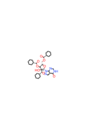 O=C(OC[C@@H]1O[C@H](n2ncc3c(=O)[nH]cnc32)[C@](O)(C(=O)c2ccccc2)[C@H]1OC(=O)c1ccccc1)c1ccccc1